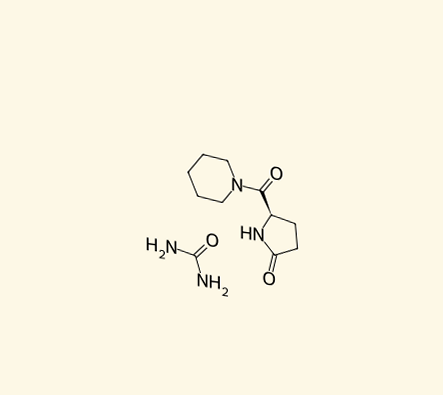 NC(N)=O.O=C1CC[C@H](C(=O)N2CCCCC2)N1